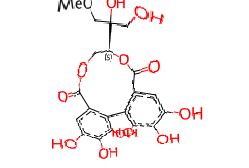 COCC(O)(CO)[C@@H]1COC(=O)c2cc(O)c(O)c(O)c2-c2c(cc(O)c(O)c2O)C(=O)O1